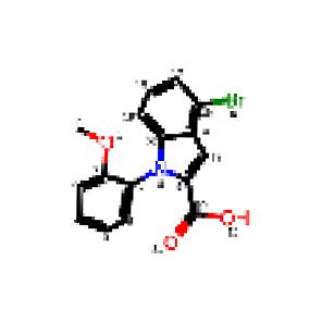 COc1ccccc1-n1c(C(=O)O)cc2c(Br)cccc21